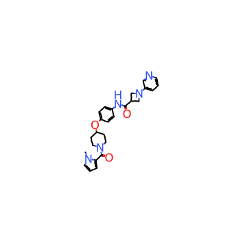 Cn1cccc1C(=O)N1CCC(Oc2ccc(NC(=O)C3CN(c4cccnc4)C3)cc2)CC1